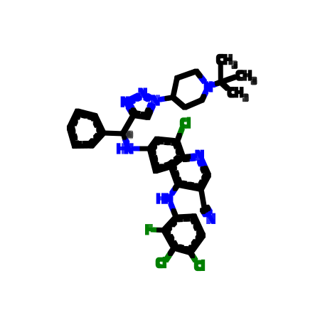 CC(C)(C)N1CCC(n2cc([C@@H](Nc3cc(Cl)c4ncc(C#N)c(Nc5ccc(Cl)c(Cl)c5F)c4c3)c3ccccc3)nn2)CC1